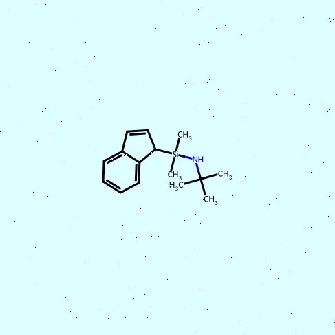 CC(C)(C)N[Si](C)(C)C1C=Cc2ccccc21